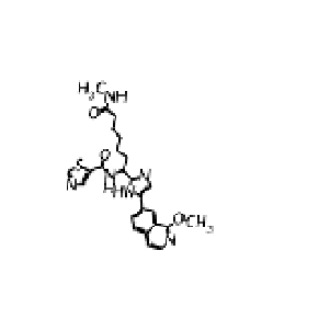 CNC(=O)CCCCC[C@H](NC(=O)c1cncs1)c1ncc(-c2ccc3ccnc(OC)c3c2)[nH]1